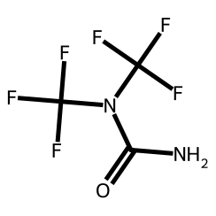 NC(=O)N(C(F)(F)F)C(F)(F)F